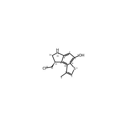 Cc1csc2c(O)cc3c(c12)[C@@H](CCl)CN3